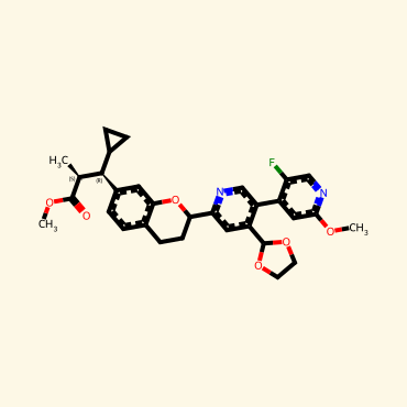 COC(=O)[C@@H](C)[C@H](c1ccc2c(c1)OC(c1cc(C3OCCO3)c(-c3cc(OC)ncc3F)cn1)CC2)C1CC1